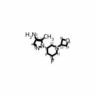 Cc1c(N)cnn1[C@H]1C[C@H](F)CN(C2COC2)C1